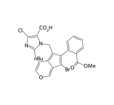 CCCCc1nc(Cl)c(C(=O)O)n1Cc1c2ccocc-2c(Br)c1-c1ccccc1C(=O)OC